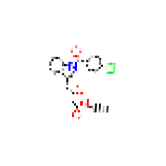 CCCCOC(=O)CC(=O)Cc1cn(C(=O)c2ccc(Cl)cc2)c2ccccc12